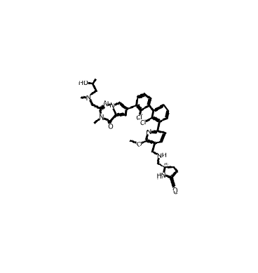 COc1nc(-c2cccc(-c3cccc(-c4cc5c(=O)n(C)c(CN(C)CC(C)O)nn5c4)c3Cl)c2Cl)ccc1CNC[C@H]1CCC(=O)N1